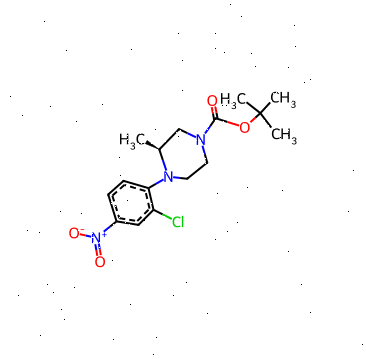 C[C@H]1CN(C(=O)OC(C)(C)C)CCN1c1ccc([N+](=O)[O-])cc1Cl